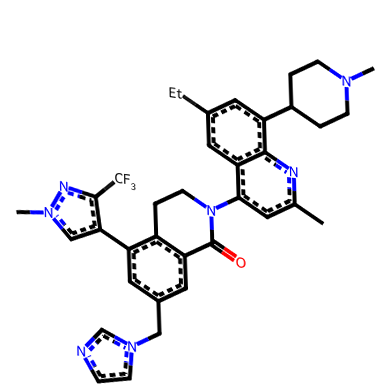 CCc1cc(C2CCN(C)CC2)c2nc(C)cc(N3CCc4c(cc(Cn5ccnc5)cc4-c4cn(C)nc4C(F)(F)F)C3=O)c2c1